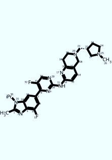 Cc1nc2c(F)cc(-c3nc(Nc4ccc5c(n4)CCN(C[C@@H]4CCN(C)C4)C5)ncc3F)cc2n1C(C)C